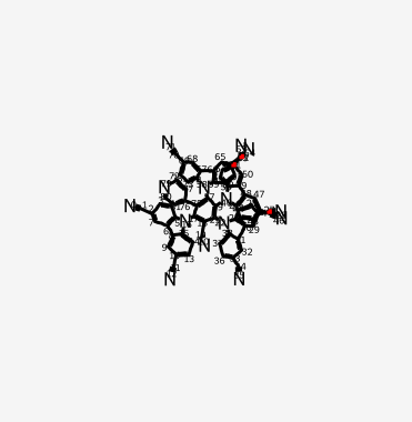 N#Cc1ccc2c(c1)c1cc(C#N)ccc1n2-c1c(C#N)c(-n2c3ccc(C#N)cc3c3cc(C#N)ccc32)c(-n2c3ccc(C#N)cc3c3cc(C#N)ccc32)c(-n2c3ccc(C#N)cc3c3cc(C#N)ccc32)c1-c1ccncc1